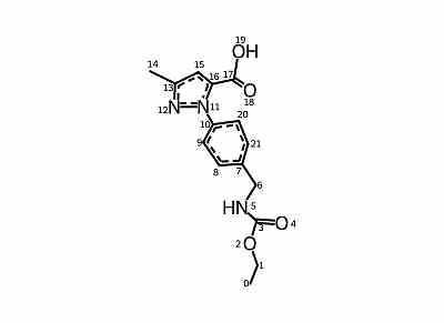 CCOC(=O)NCc1ccc(-n2nc(C)cc2C(=O)O)cc1